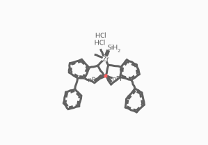 CCCC1=Cc2c(-c3ccccc3)cccc2[CH]1[Zr]([CH3])([CH3])(=[SiH2])[CH]1C(CCC)=Cc2c(-c3ccccc3)cccc21.Cl.Cl